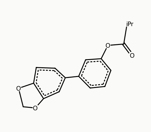 CC(C)C(=O)Oc1cccc(-c2ccc3c(c2)OCO3)c1